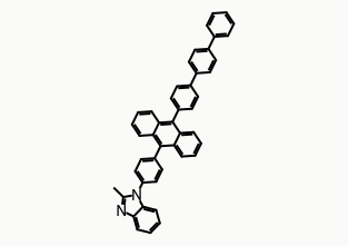 Cc1nc2ccccc2n1-c1ccc(-c2c3ccccc3c(-c3ccc(-c4ccc(-c5ccccc5)cc4)cc3)c3ccccc23)cc1